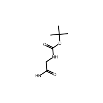 CC(C)(C)OC(=O)NCC([NH])=O